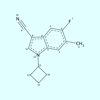 Cc1cc2c(cc1F)c(C#N)cn2C1CCC1